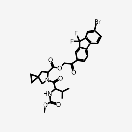 COC(=O)NC(C(=O)N1CC2(CC2)CC1C(=O)OCC(=O)c1ccc2c(c1)C(F)(F)c1cc(Br)ccc1-2)C(C)C